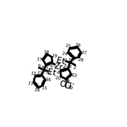 CCC(C)(C1=[C]([Zr+2][C]2=C(C(C)(CC)c3ccccc3)C=CC2)CC=C1)c1ccccc1.[Cl-].[Cl-]